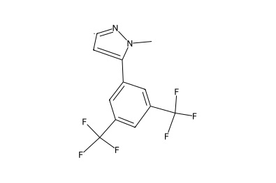 Cn1n[c]cc1-c1cc(C(F)(F)F)cc(C(F)(F)F)c1